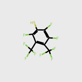 Fc1c(F)c(C(F)(F)F)c(C(F)(F)F)c(F)c1S